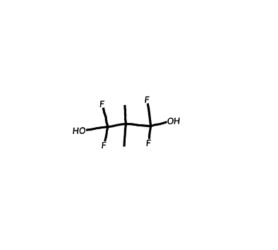 CC(C)(C(O)(F)F)C(O)(F)F